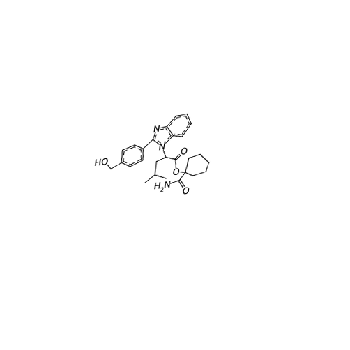 CC(C)CC(C(=O)OC1(C(N)=O)CCCCC1)n1c(-c2ccc(CO)cc2)nc2ccccc21